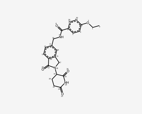 CCOc1ccc(C(=O)NCc2ccc3c(c2)CN(C2CCC(=O)NC2=O)C3=O)nn1